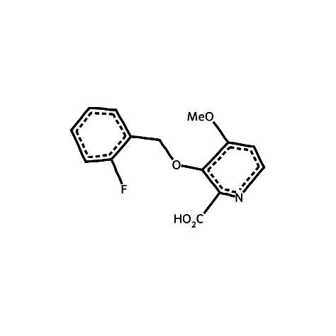 COc1ccnc(C(=O)O)c1OCc1ccccc1F